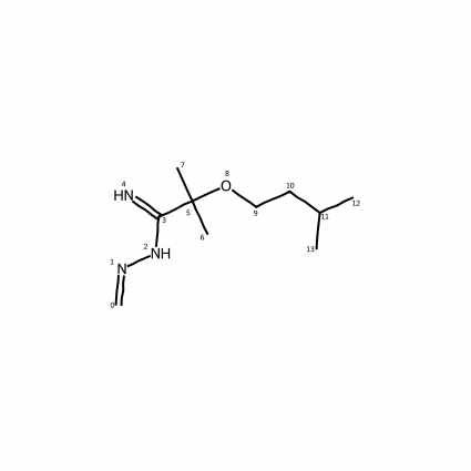 C=NNC(=N)C(C)(C)OCCC(C)C